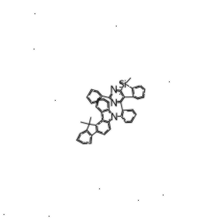 CC1(C)c2ccccc2-c2ccc3c(c21)c1ccccc1n3-c1ccccc1-c1nc(-c2ccccc2)nc2c1-c1ccccc1[Si]2(C)C